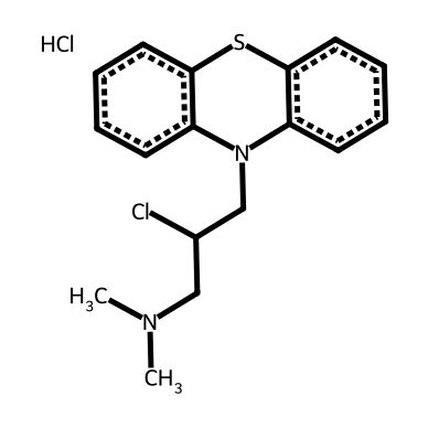 CN(C)CC(Cl)CN1c2ccccc2Sc2ccccc21.Cl